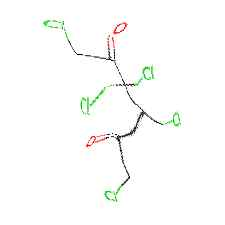 O=C(CCl)C(Cl)C(Cl)(Cl)C(=O)CCl